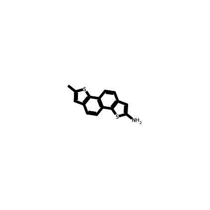 Cc1cc2ccc3c(ccc4cc(N)sc43)c2s1